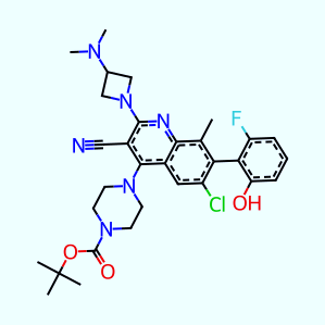 Cc1c(-c2c(O)cccc2F)c(Cl)cc2c(N3CCN(C(=O)OC(C)(C)C)CC3)c(C#N)c(N3CC(N(C)C)C3)nc12